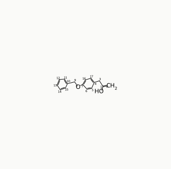 C=C(O)Cc1ccc(OCc2ccccc2)cc1